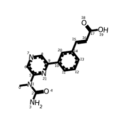 CN(C(N)=O)c1cncc(-c2cccc(/C=C/C(=O)O)c2)n1